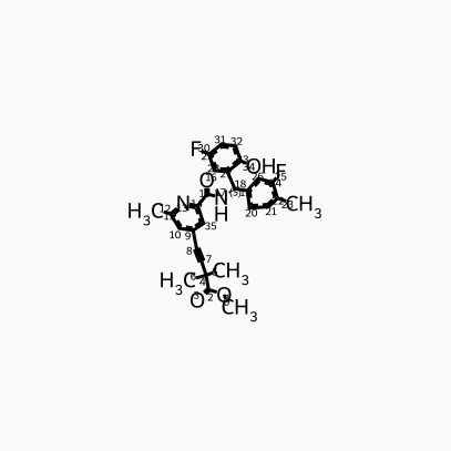 COC(=O)C(C)(C)C#Cc1cc(C)nc(C(=O)N[C@@H](c2ccc(C)c(F)c2)c2cc(F)ccc2O)c1